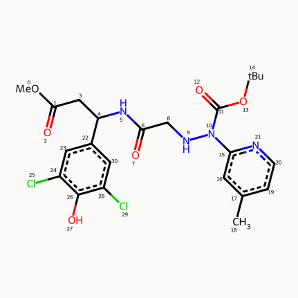 COC(=O)CC(NC(=O)CNN(C(=O)OC(C)(C)C)c1cc(C)ccn1)c1cc(Cl)c(O)c(Cl)c1